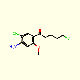 COc1cc(N)c(Cl)cc1C(=O)CCCCCl